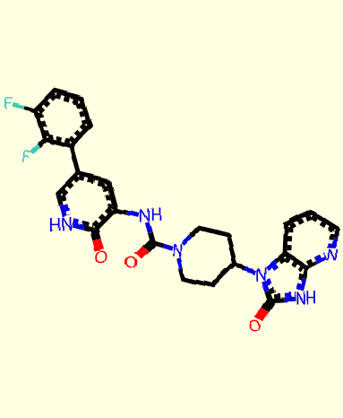 O=C(Nc1cc(-c2cccc(F)c2F)c[nH]c1=O)N1CCC(n2c(=O)[nH]c3ncccc32)CC1